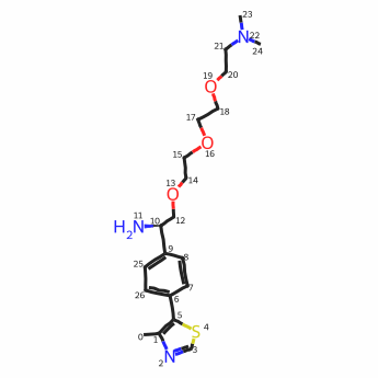 Cc1ncsc1-c1ccc([C@@H](N)COCCOCCOCCN(C)C)cc1